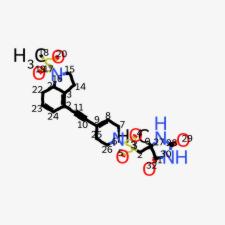 CC1(CS(=O)(=O)N2CC=C(C#CC3=C4CCN(S(C)(=O)=O)C4CC=C3)CC2)NC(=O)NC1=O